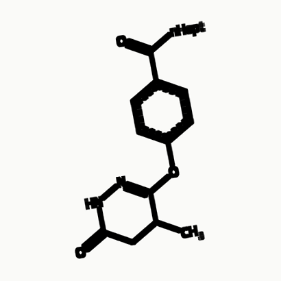 CCCCCCCC(=O)c1ccc(OC2=NNC(=O)CC2C)cc1